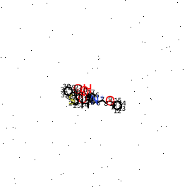 O=C(O[C@H]1C[N+]2(CCCOc3ccccc3)CCC1CC2)[C@](O)(c1cccs1)C1CCCCC1